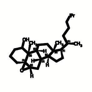 CC(C)CCC[C@@H](C)[C@H]1CC[C@H]2[C@@H]3C[C@@H]4O[C@@]45CCCC(O)[C@]5(C)[C@H]3CC[C@]12C